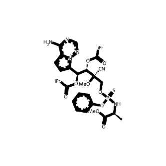 COC(=O)[C@H](C)NP(=S)(OC[C@@](C#N)(OC)[C@@H](OC(=O)C(C)C)[C@@H](OC(=O)C(C)C)c1ccc2c(N)ncnn12)Oc1ccccc1